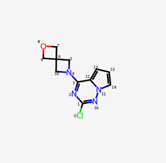 Clc1nc(N2CC3(COC3)C2)c2cccn2n1